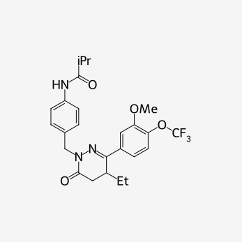 CCC1CC(=O)N(Cc2ccc(NC(=O)C(C)C)cc2)N=C1c1ccc(OC(F)(F)F)c(OC)c1